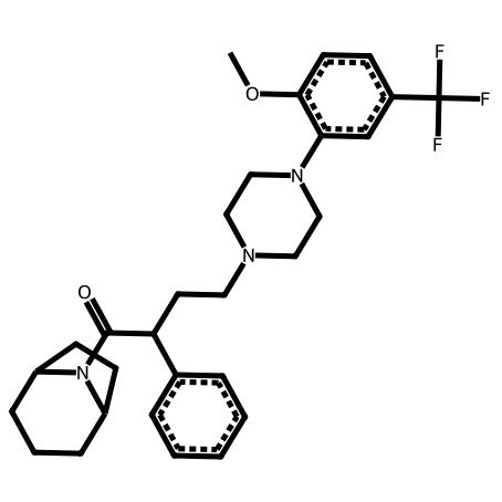 COc1ccc(C(F)(F)F)cc1N1CCN(CCC(C(=O)N2C3CCCC2CC3)c2ccccc2)CC1